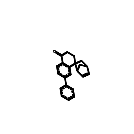 O=C1CCC2(CC3C=CC2C3)c2cc(-c3ccccc3)ccc21